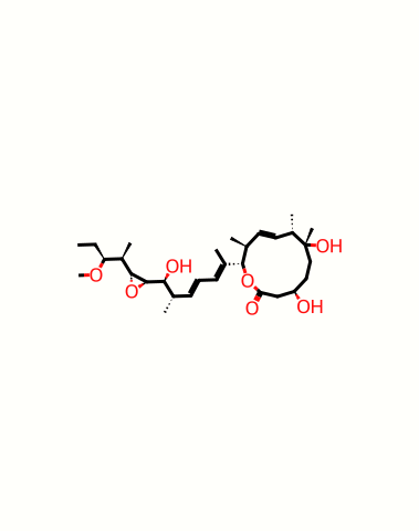 CC[C@H](OC)[C@@H](C)[C@H]1O[C@@H]1[C@@H](O)[C@@H](C)/C=C/C=C(\C)[C@H]1OC(=O)C[C@H](O)CC[C@@](C)(O)[C@@H](C)/C=C/[C@@H]1C